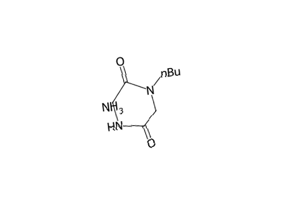 CCCCN1CC(=O)NCC1=O.N